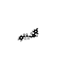 Cc1cc(C)c(C2C(=O)CC(CCNC(=O)NC(=O)c3ccc(F)c(F)c3)C2=O)c(C)c1